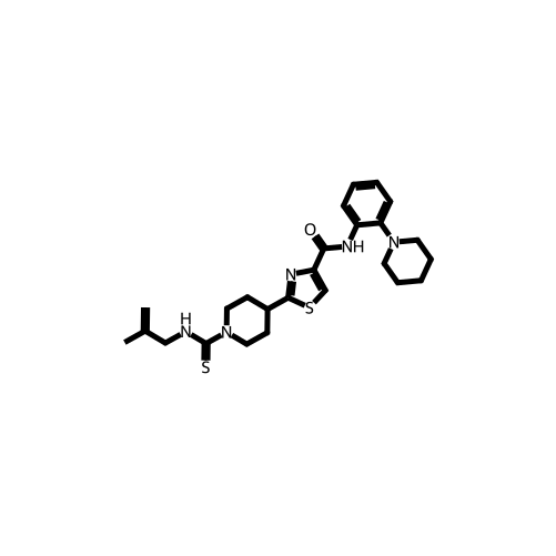 C=C(C)CNC(=S)N1CCC(c2nc(C(=O)Nc3ccccc3N3CCCCC3)cs2)CC1